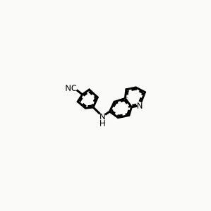 N#Cc1ccc(Nc2ccc3ncccc3c2)cc1